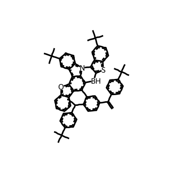 C=C(c1ccc(C(C)(C)C)cc1)c1ccc(C(C)c2ccc(C(C)(C)C)cc2)c(-c2c3c4c(c5cc(C(C)(C)C)ccc5n4-c4c(sc5ccc(C(C)(C)C)cc45)B3)c3oc4ccccc4c23)c1